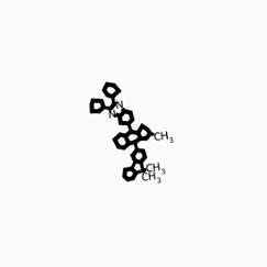 Cc1ccc2c(-c3ccc4nc(-c5ccccc5)c(-c5ccccc5)nc4c3)c3ccccc3c(-c3ccc4c(c3)-c3ccccc3C4(C)C)c2c1